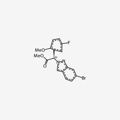 COC(=O)[C@@H](c1cc(F)ccc1OC)n1cc2ccc(Br)cc2n1